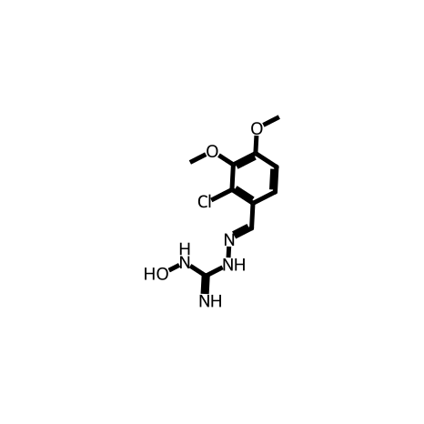 COc1ccc(C=NNC(=N)NO)c(Cl)c1OC